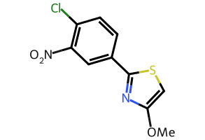 COc1csc(-c2ccc(Cl)c([N+](=O)[O-])c2)n1